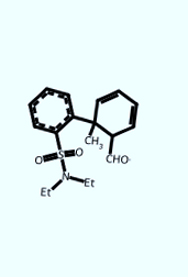 CCN(CC)S(=O)(=O)c1ccccc1C1(C)C=CC=CC1[C]=O